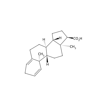 C[C@]12CC[C@H]3[C@@H](CCC4=CCC=C[C@@]43C)[C@@H]1CC[C@H]2C(=O)O